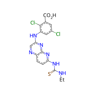 CCNC(=S)Nc1ccc2ncc(Nc3cc(Cl)cc(C(=O)O)c3Cl)nc2n1